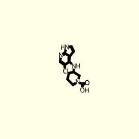 O=C(O)N1CCCC(Nc2c(Cl)cnc3[nH]ccc23)C1